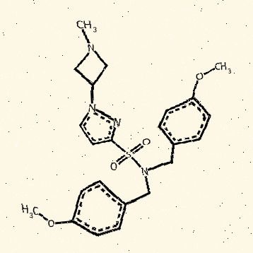 COc1ccc(CN(Cc2ccc(OC)cc2)S(=O)(=O)c2ccn(C3CN(C)C3)n2)cc1